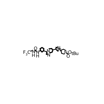 CC(C)(C)OC(=O)N1CCC(n2cc(-c3ccn4c(-c5cccc(NC(=O)NCC(F)(F)F)c5)cnc4c3)cn2)CC1